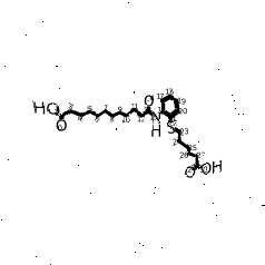 O=C(O)CCCCCCCCCCC(=O)Nc1ccccc1SCCCCCC(=O)O